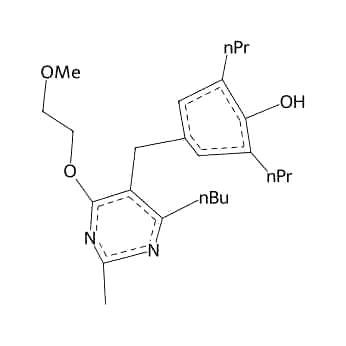 CCCCc1nc(C)nc(OCCOC)c1Cc1cc(CCC)c(O)c(CCC)c1